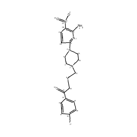 Nc1nc(N2CCN(CCCC(=O)c3ccc(F)cc3)CC2)ccc1[N+](=O)[O-]